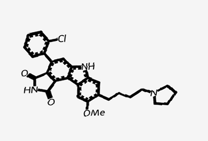 COc1cc2c(cc1CCCCN1CCCC1)[nH]c1cc(-c3ccccc3Cl)c3c(c12)C(=O)NC3=O